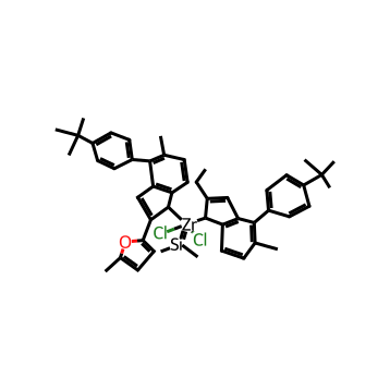 CCC1=Cc2c(ccc(C)c2-c2ccc(C(C)(C)C)cc2)[CH]1[Zr]([Cl])([Cl])([CH]1C(c2ccc(C)o2)=Cc2c1ccc(C)c2-c1ccc(C(C)(C)C)cc1)=[Si](C)C